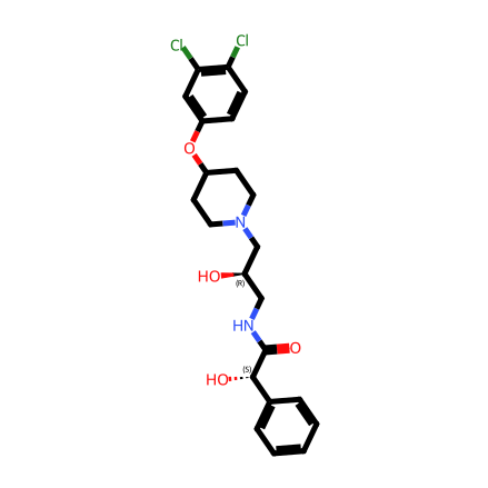 O=C(NC[C@@H](O)CN1CCC(Oc2ccc(Cl)c(Cl)c2)CC1)[C@@H](O)c1ccccc1